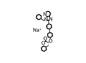 O=C([O-])[C@@H](Cc1ccccc1)Oc1ccc(-c2ccc(-c3nc4cccnc4n3Cc3ccccc3)cc2)cc1.[Na+]